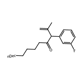 C=C(C)C(C(=O)CCCCCCCCCCCCCC)c1cccc(F)c1